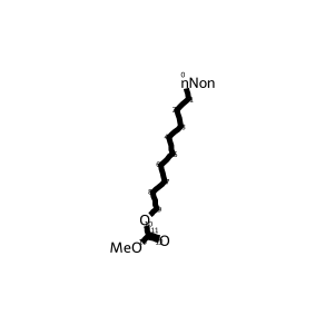 CCCCCCCCCCCCCCCCCCOC(=O)OC